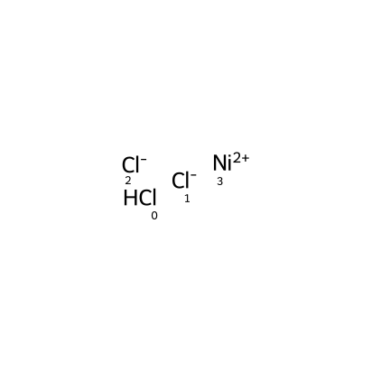 Cl.[Cl-].[Cl-].[Ni+2]